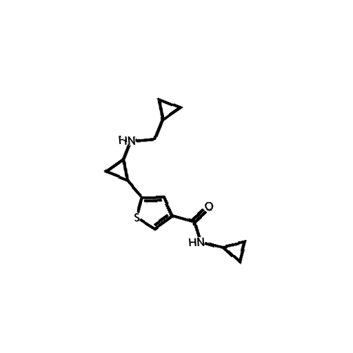 O=C(NC1CC1)c1csc(C2CC2NCC2CC2)c1